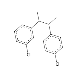 CC(c1ccc(Cl)cc1)C(C)c1cccc(Cl)c1